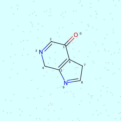 O=C1C=NCC2=C1CC=N2